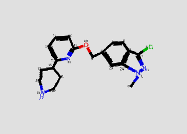 Cn1nc(Cl)c2ccc(COc3cccc(C4CCNCC4)n3)cc21